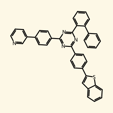 c1ccc(-c2ccccc2-c2nc(-c3ccc(-c4cccnc4)cc3)nc(-c3ccc(-c4cc5ccccc5s4)cc3)n2)cc1